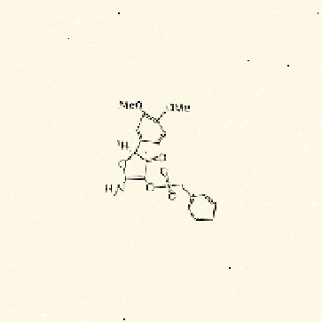 [2H][C@@]1(c2ccc(OC)c(OC)c2)OC(N)=C(OS(=O)(=O)Cc2ccccc2)C1=O